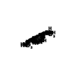 FC(F)(F)C1(c2ccc(CN(CCOCCOCCOCCN(Cc3ccc(C4(C(F)(F)F)NN4)cc3)Cc3ccc(C4(C(F)(F)F)NN4)cc3)Cc3ccc(C4(C(F)(F)F)NN4)cc3)cc2)NN1